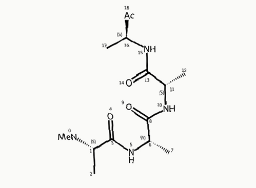 CN[C@@H](C)C(=O)N[C@@H](C)C(=O)N[C@@H](C)C(=O)N[C@@H](C)C(C)=O